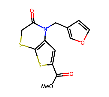 COC(=O)c1cc2c(s1)SCC(=O)N2Cc1ccoc1